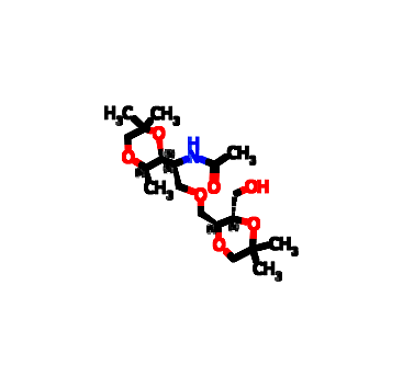 CC(=O)N[C@@H](COC[C@@H]1OCC(C)(C)O[C@H]1CO)[C@@H]1OC(C)(C)CO[C@@H]1C